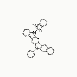 Cn1c(-n2c3ccccc3c3cc4c(cc32)c2cc3ccccc3cc2n4-c2ccccc2)nc2ccccc21